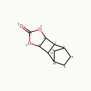 O=C1OC2C(O1)C1C3CCC(C3)C21